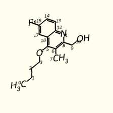 CCCCOc1c(C)c(CO)nc2ccc(F)cc12